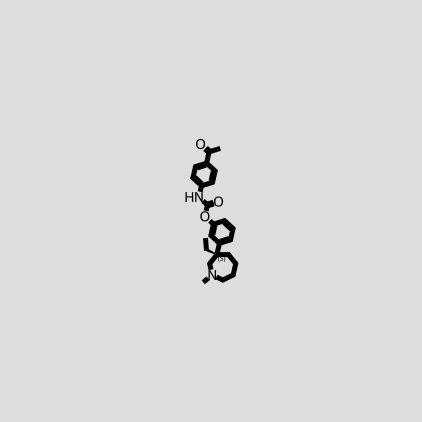 CC[C@@]1(c2cccc(OC(=O)Nc3ccc(C(C)=O)cc3)c2)CCCCN(C)C1